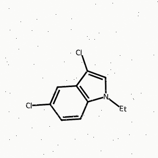 CCn1cc(Cl)c2cc(Cl)ccc21